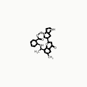 Cc1cc(C(C)Nc2ccccc2C(=O)OC(C)(C)C)c2oc(-c3cnc4cc[nH]c4c3)cc(=O)c2c1